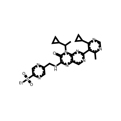 CCS(=O)(=O)c1cnc(CNc2nc3cnc(-c4c(C)ncnc4C4CC4)nc3n(C(C)C3CC3)c2=O)cn1